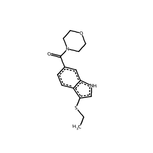 CCSc1c[nH]c2cc(C(=O)N3CCOCC3)ccc12